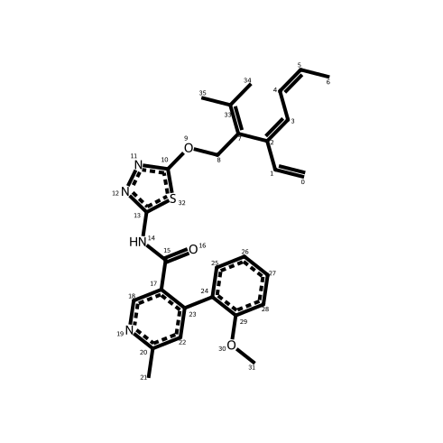 C=C/C(=C/C=C\C)C(COc1nnc(NC(=O)c2cnc(C)cc2-c2ccccc2OC)s1)=C(C)C